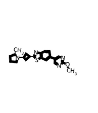 COc1ncc(-c2ccc3nc([C@H]4C[C@H](N5CCC[C@@H]5C)C4)sc3c2)cn1